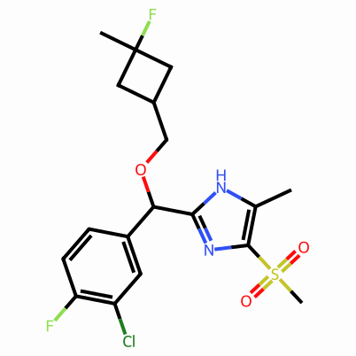 Cc1[nH]c(C(OCC2CC(C)(F)C2)c2ccc(F)c(Cl)c2)nc1S(C)(=O)=O